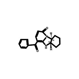 O=C(c1ccccc1)c1ccc(=O)n2c1N[C@H]1CCCC[C@@H]12